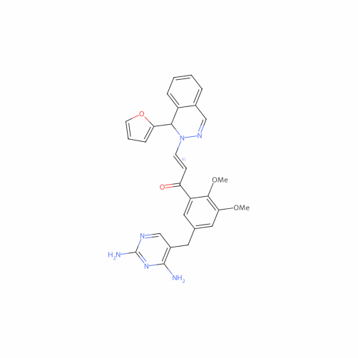 COc1cc(Cc2cnc(N)nc2N)cc(C(=O)/C=C/N2N=Cc3ccccc3C2c2ccco2)c1OC